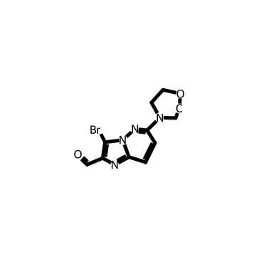 O=Cc1nc2ccc(N3CCOCC3)nn2c1Br